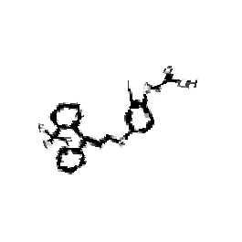 O=C(O)COc1ccc(SC/C=C(/c2ccccc2)c2ccccc2C(F)(F)F)cc1I